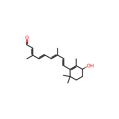 CC(C=CC=C(C)C=CC1=C(C)C(O)CCC1(C)C)=CC=O